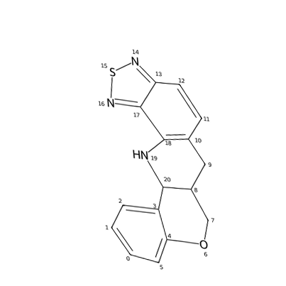 c1ccc2c(c1)OCC1Cc3ccc4nsnc4c3NC21